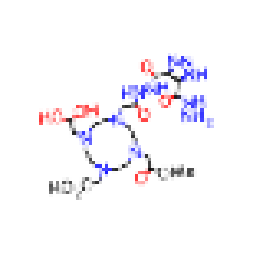 COC(=O)CN1CCN(CC(=O)O)CCN(CC(O)O)CCN(CC(=O)NNC(=O)c2nn[nH]c2C(=O)NN)CC1